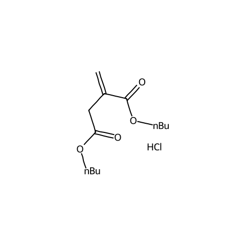 C=C(CC(=O)OCCCC)C(=O)OCCCC.Cl